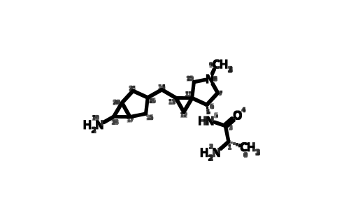 C[C@H](N)C(=O)N[C@H]1CN(C)CC12CC2CC1CC2C(N)C2C1